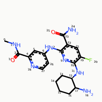 CNC(=O)c1cc(Nc2nc(N[C@@H]3CCCCC3N)c(F)cc2C(N)=O)ccn1